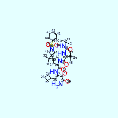 CC(C)(C)NC(=O)N[C@H](C(=O)N1C[C@]2(C[C@H]1C(=O)NC(CC1CCC1)C(=O)C(N)=O)C(C)(C)C21CN(S(=O)(=O)c2ccccc2)C1)C(C)(C)C